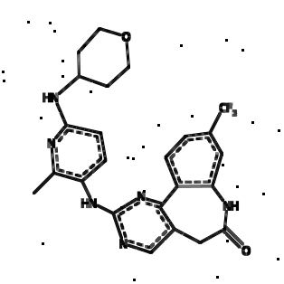 Cc1nc(NC2CCOCC2)ccc1Nc1ncc2c(n1)-c1ccc(C(F)(F)F)cc1NC(=O)C2